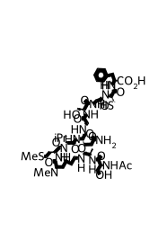 CN[C@@H](CCCCNC(=O)[C@@H](C)NC(=O)[C@H](CO)NC(C)=O)C(=O)N[C@@H](CCSC)C(=O)N[C@H](C(=O)N[C@@H](CCC(N)=O)C(=O)NCC(=O)N[C@@H](CO)C(=O)NCC(=O)N[C@@H](CS)C(=O)N[C@@H](Cc1ccccc1)C(=O)O)C(C)C